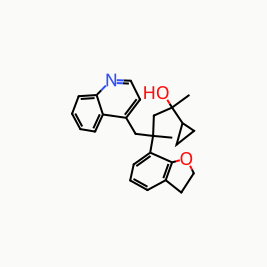 CC(Cc1ccnc2ccccc12)(CC(C)(O)C1CC1)c1cccc2c1OCC2